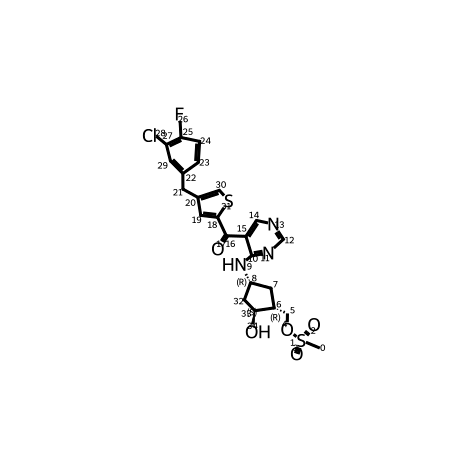 CS(=O)(=O)OC[C@H]1C[C@@H](Nc2ncncc2C(=O)c2cc(Cc3ccc(F)c(Cl)c3)cs2)C[C@@H]1O